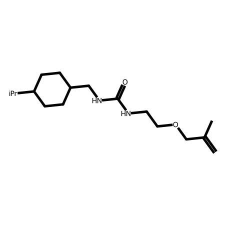 C=C(C)COCCNC(=O)NCC1CCC(C(C)C)CC1